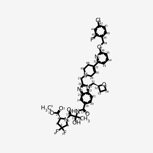 COC(=O)[C@@H]1CC(F)(F)CN1C(=O)C(C)(O)NC(=O)c1ccc2c(c1)nc(CN1CC=C(c3cccc(OCc4ccc(Cl)cc4F)n3)CC1)n2C[C@@H]1CCO1